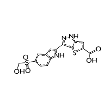 O=C(O)c1cc2[nH]nc(-c3cc4cc(S(=O)(=O)CO)ccc4[nH]3)c2s1